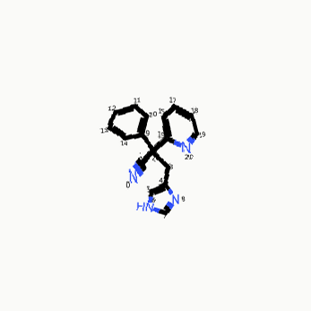 N#CC(Cc1c[nH]cn1)(c1ccccc1)c1ccccn1